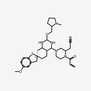 C=CC(=O)N1CCN(C2NC(OCC3CCCN3C)NC3C[C@]4(CCC32)Cc2cc(OC)ccc2S4)CC1CC#N